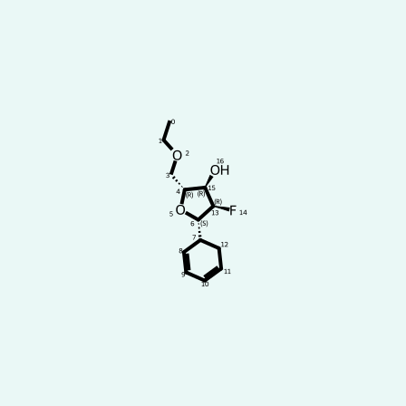 CCOC[C@H]1O[C@@H](C2C=CC=CC2)[C@H](F)[C@@H]1O